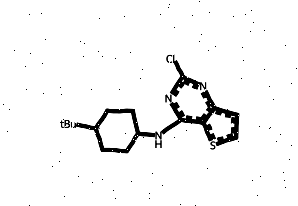 CC(C)(C)[C]1CCC(Nc2nc(Cl)nc3ccsc23)CC1